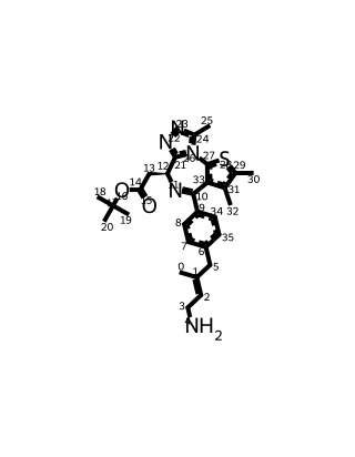 C/C(=C\CN)Cc1ccc(C2=N[C@@H](CC(=O)OC(C)(C)C)c3nnc(C)n3-c3sc(C)c(C)c32)cc1